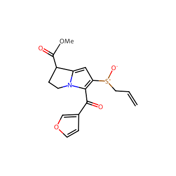 C=CC[S+]([O-])c1cc2n(c1C(=O)c1ccoc1)CCC2C(=O)OC